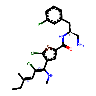 CC/C(C)=C/C(Cl)=C(\NC)c1cc(C(=O)N[C@H](CN)Cc2cccc(F)c2)sc1Cl